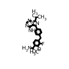 COc1c(C(N)=O)ccc(Cc2ccc(-c3nc(C(C)C)n4ncnc(N)c34)cc2)c1F